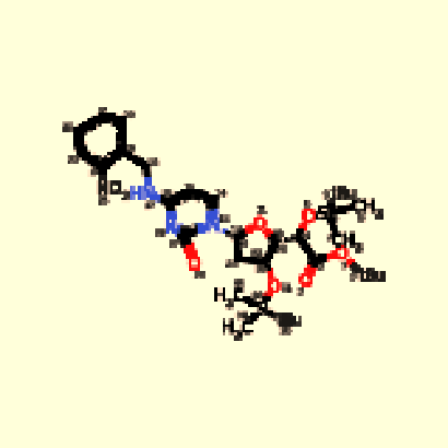 CC(C)(C)OC(=O)C(O[Si](C)(C)C(C)(C)C)[C@H]1O[C@@H](n2ccc(NCc3ccccc3[N+](=O)[O-])nc2=O)C[C@@H]1O[Si](C)(C)C(C)(C)C